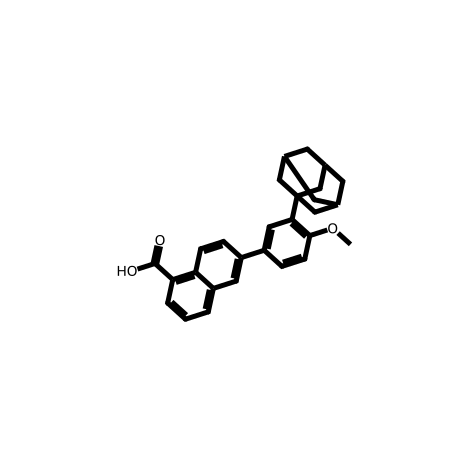 COc1ccc(-c2ccc3c(C(=O)O)cccc3c2)cc1C12CC3CC(CC(C3)C1)C2